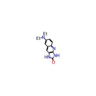 CCN(CC)c1ccc2nc3[nH]c(=O)[nH]c3cc2c1